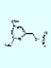 COc1cc(CO[SH](=O)=O)nc(OC)c1